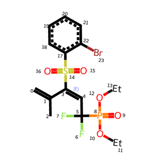 C=C(C)/C(=C\C(F)(F)P(=O)(OCC)OCC)S(=O)(=O)c1ccccc1Br